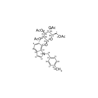 CC(=O)OC[C@H]1O[C@@H](Oc2cccc3ccn(Cc4ccc(C)cc4)c23)[C@H](OC(C)=O)[C@@H](OC(C)=O)[C@@H]1OC(C)=O